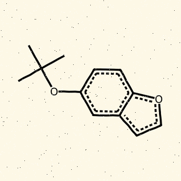 CC(C)(C)Oc1ccc2occc2c1